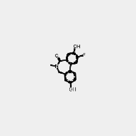 CN1Cc2cc(O)ccc2-c2cc(F)c(O)cc2C1=O